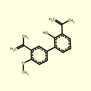 C=C(C)c1cc(-c2cccc(C(=C)C)c2O)ccc1OC